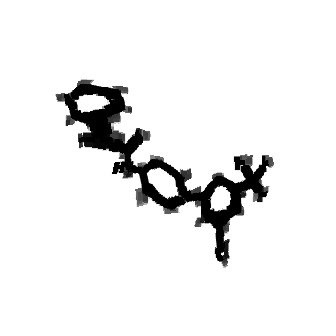 FC(F)(F)c1cc(Cl)nc(N2CCC(NC(=S)Nc3cccnc3)CC2)c1